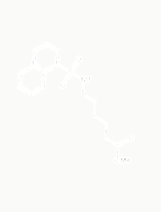 COC(=O)CCCCCNS(=O)(=O)c1cccc2ccccc12